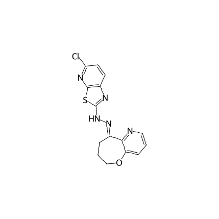 Clc1ccc2nc(N/N=C3\CCCOc4cccnc43)sc2n1